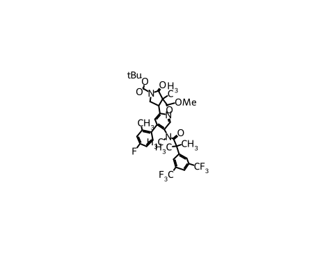 COC(=O)C1(C)C(=O)N(C(=O)OC(C)(C)C)CC1c1cc(-c2ccc(F)cc2C)c(N(C)C(=O)C(C)(C)c2cc(C(F)(F)F)cc(C(F)(F)F)c2)cn1